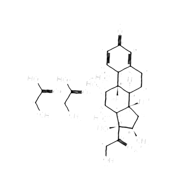 CCC(=O)O.CCC(=O)O.C[C@@H]1C[C@H]2[C@@H]3CCC4=CC(=O)C=C[C@]4(C)[C@@]3(F)[C@@H](O)C[C@]2(C)[C@@]1(O)C(=O)CO